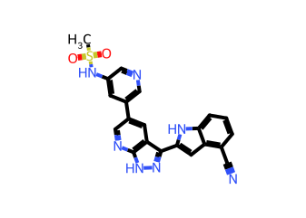 CS(=O)(=O)Nc1cncc(-c2cnc3[nH]nc(-c4cc5c(C#N)cccc5[nH]4)c3c2)c1